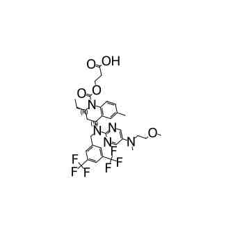 CC[C@@H]1C[C@H](N(Cc2cc(C(F)(F)F)cc(C(F)(F)F)c2)c2ncc(N(C)CCOC)cn2)c2cc(C)ccc2N1C(=O)OCCC(=O)O